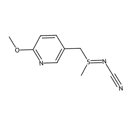 COc1ccc(C/S(C)=N/C#N)cn1